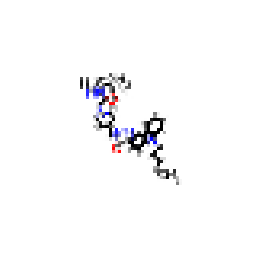 CCCCCn1c2ccccc2c2cc(C(=O)NCC3CCN(CC(=O)NC(C)(C)C)CC3)ccc21